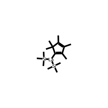 CC1=C(C)C(C)(C)[C]([La]([Si](C)(C)C)[Si](C)(C)C)=C1C